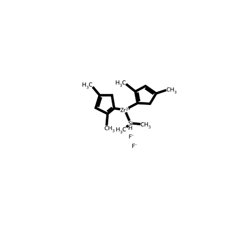 CC1=CC(C)=[C]([Zr+2]([C]2=C(C)C=C(C)C2)[SiH](C)C)C1.[F-].[F-]